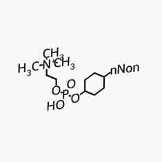 CCCCCCCCCC1CCC(OP(=O)(O)OCC[N+](C)(C)C)CC1